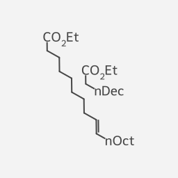 CCCCCCCCC=CCCCCCCCC(=O)OCC.CCCCCCCCCCCC(=O)OCC